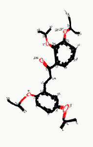 CC(C)Oc1ccc(OC(C)C)c(CCC(=O)c2cccc(OC(C)C)c2OC(C)C)c1